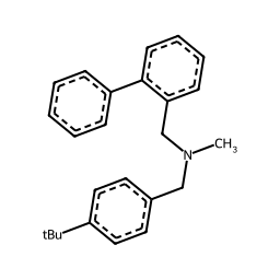 CN(Cc1ccc(C(C)(C)C)cc1)Cc1ccccc1-c1ccccc1